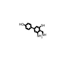 N=Cc1c(N)cc(-c2ccc(O)cc2)cc1S